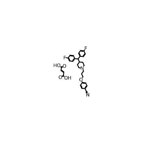 N#Cc1ccc(OCCCN2CCC(C(c3ccc(F)cc3)c3ccc(F)cc3)CC2)cc1.O=C(O)C=CC(=O)O